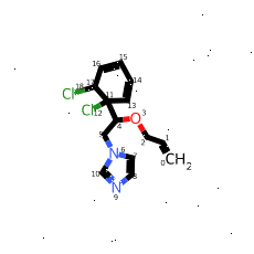 C=CCOC(Cn1ccnc1)C1(Cl)C=CC=CC1Cl